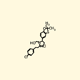 CC1(C)Oc2ccc(C3CCC(CCc4ccc(Cl)cc4)N3CO)cc2S1.Cl